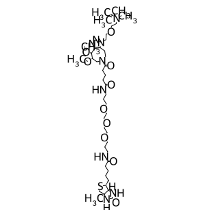 CO[C@H]1CN(C(=O)CCCC(=O)NCCCOCCOCCOCCCNC(=O)CCCC[C@@H]2SC[C@]3(C)NC(=O)N[C@H]23)CCc2c(nnn2CCOCCN(C)C(C)(C)C)[C@@H]1OC